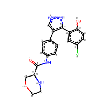 O=C(Nc1ccc(-c2c[nH]nc2-c2cc(Cl)ccc2O)cc1)[C@@H]1COCCN1